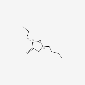 C=C1C[C@H](CCCC)O[C@H]1CCC